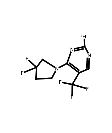 [2H]c1ncc(C(F)(F)F)c(N2CCC(F)(F)C2)n1